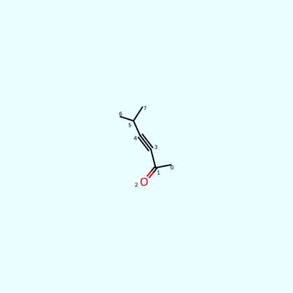 CC(=O)C#CC(C)C